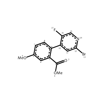 COC(=O)c1cc(OC)ccc1-c1cc(Br)ncc1F